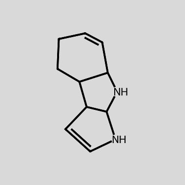 C1=CC2NC3NC=CC3C2CC1